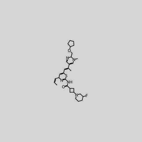 C/C=C\C1C=C(/C=C(\C)C2=CN(C)C(COC3CCCC3)N=C2)SC(NC(=O)C2CC(N3CCCC(F)C3)C2)=N1